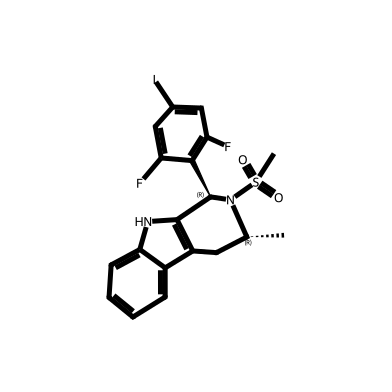 C[C@@H]1Cc2c([nH]c3ccccc23)[C@@H](c2c(F)cc(I)cc2F)N1S(C)(=O)=O